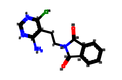 Nc1ncnc(Cl)c1CCN1C(=O)c2ccccc2C1=O